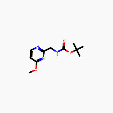 COc1ccnc(CNC(=O)OC(C)(C)C)n1